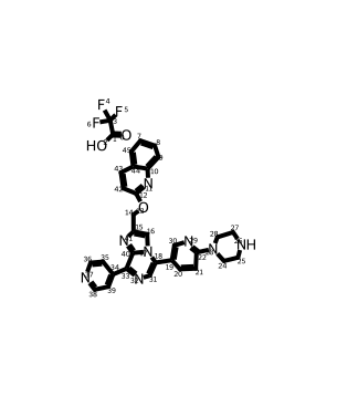 O=C(O)C(F)(F)F.c1ccc2nc(OCc3cn4c(-c5ccc(N6CCNCC6)nc5)cnc(-c5ccncc5)c4n3)ccc2c1